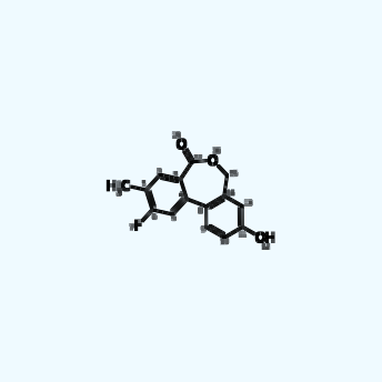 Cc1cc2c(cc1F)-c1ccc(O)cc1COC2=O